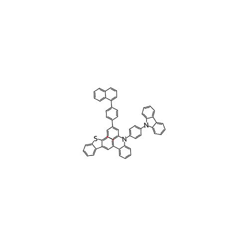 c1cc(-c2ccc(-c3cccc4ccccc34)cc2)cc(N(c2ccc(-n3c4ccccc4c4ccccc43)cc2)c2ccccc2-c2ccc3sc4ccccc4c3c2)c1